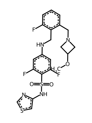 COC1CN(Cc2cccc(F)c2CNc2cc(F)c(S(=O)(=O)Nc3cscn3)c(F)c2)C1